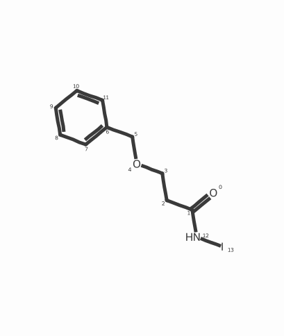 O=C(CCOCc1ccccc1)NI